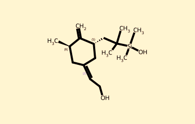 C=C1[C@H](CC(C)(C)[Si](C)(C)O)C/C(=C\CO)C[C@H]1C